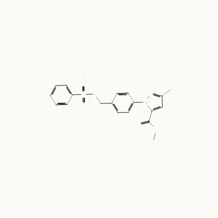 COC(=O)c1cc(C)nn1-c1ccc(CNS(=O)(=O)c2ccccc2)cc1